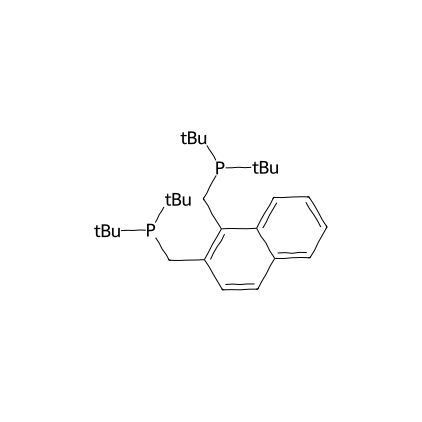 CC(C)(C)P(Cc1ccc2ccccc2c1CP(C(C)(C)C)C(C)(C)C)C(C)(C)C